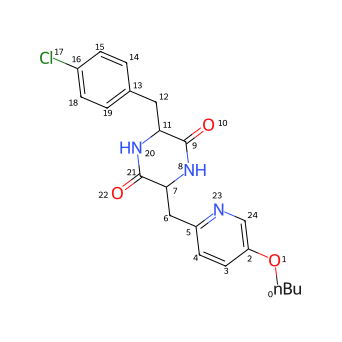 CCCCOc1ccc(CC2NC(=O)C(Cc3ccc(Cl)cc3)NC2=O)nc1